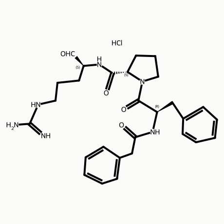 Cl.N=C(N)NCCC[C@@H](C=O)NC(=O)[C@@H]1CCCN1C(=O)[C@@H](Cc1ccccc1)NC(=O)Cc1ccccc1